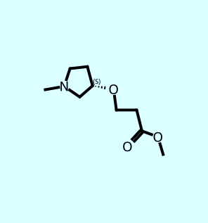 COC(=O)CCO[C@H]1CCN(C)C1